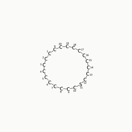 C1CCCCCCCCCCSCCCCCCCCC1